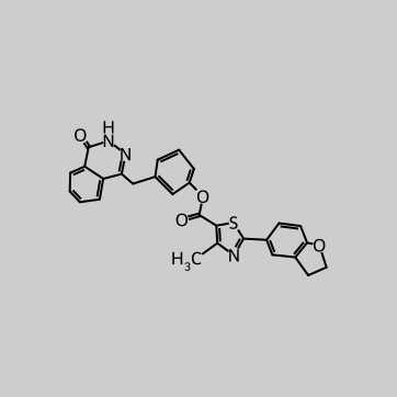 Cc1nc(-c2ccc3c(c2)CCO3)sc1C(=O)Oc1cccc(Cc2n[nH]c(=O)c3ccccc23)c1